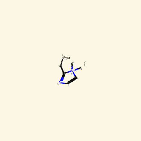 CCCCCCC1=NC=C[N+]1(C)C.[I-]